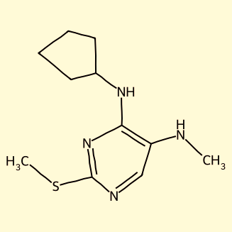 CNc1cnc(SC)nc1NC1CCCC1